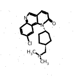 CN(C)C[C@H]1CC[C@H](n2c(=O)ccc3cnc4ccc(Cl)cc4c32)CC1